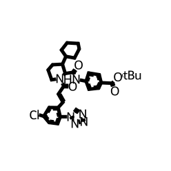 CC(C)(C)OC(=O)c1ccc(NC(=O)C2C(C3CCCCC3)CCCN2C(=O)C=Cc2cc(Cl)ccc2-n2cnnn2)cc1